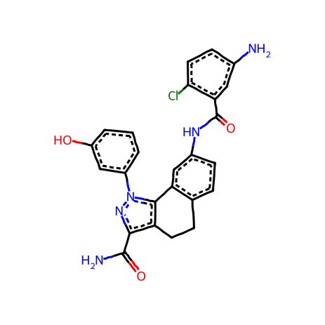 NC(=O)c1nn(-c2cccc(O)c2)c2c1CCc1ccc(NC(=O)c3cc(N)ccc3Cl)cc1-2